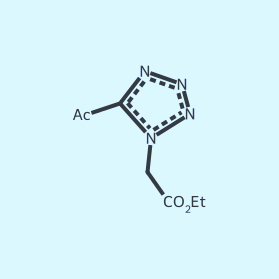 CCOC(=O)Cn1nnnc1C(C)=O